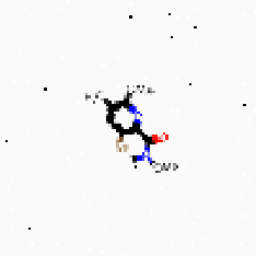 COc1nc(C(=O)N(C)OC)c(Br)cc1C(F)(F)F